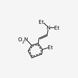 CCc1cccc([N+](=O)[O-])c1C=CN(CC)CC